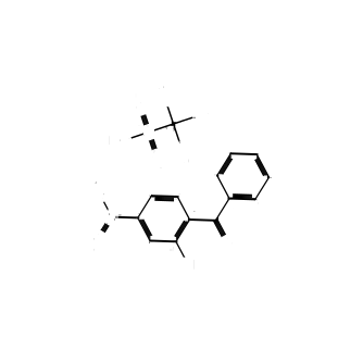 O=C(c1ccccc1)c1ccc([N+](=O)[O-])cc1Cl.O=S(=O)(O)C(F)(F)F